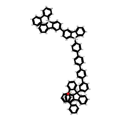 c1ccc(-c2cccc(-c3ccccc3C3(c4cccc(-c5ccc(-c6ccc(-c7ccc(-n8c9ccccc9c9cc(-c%10ccc%11c(c%10)c%10ccccc%10n%11-c%10ccccc%10-c%10ccccc%10)ccc98)cc7)cc6)cc5)c4)c4ccccc4-c4ccccc43)c2)cc1